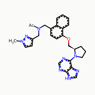 CC(=O)N(Cc1ccn(C)n1)Cc1ccc(OC[C@H]2CCCN2c2ncnc3[nH]cnc23)c2ccccc12